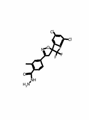 Cc1cc(C2=NOC(c3cc(Cl)cc(Cl)c3)(C(F)(F)F)C2)ccc1C(=O)NN